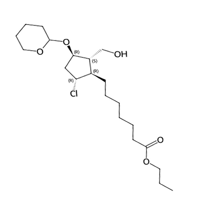 CCCOC(=O)CCCCCC[C@@H]1[C@@H](CO)[C@H](OC2CCCCO2)C[C@H]1Cl